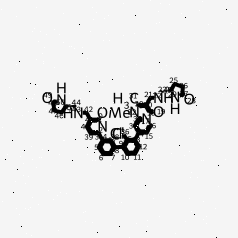 COc1nc(-c2cccc(-c3cccc(-c4ccn5c(=O)c(CNC[C@@H]6CCC(=O)N6)c(C)nc5c4)c3Cl)c2Cl)ccc1CNC[C@H]1CCC(=O)N1